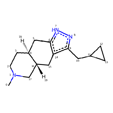 CN1CC[C@H]2Cc3[nH]nc(CC4CC4)c3C[C@@H]2C1